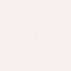 COc1ccc(NC(=S)c2ccccc2-c2ccccc2)cc1